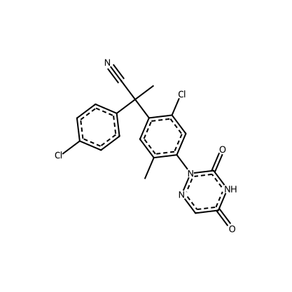 Cc1cc(C(C)(C#N)c2ccc(Cl)cc2)c(Cl)cc1-n1ncc(=O)[nH]c1=O